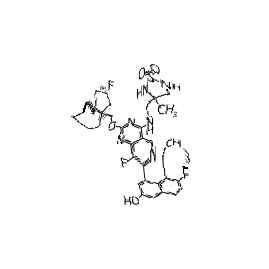 CCc1c(F)ccc2cc(O)cc(-c3ncc4c(NCC5(C)CNS(=O)(=O)N5)nc(OC[C@@]56CCCN5C[C@H](F)C6)nc4c3F)c12